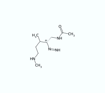 CNCCC(C)[C@H](CNC(C)=O)N=N